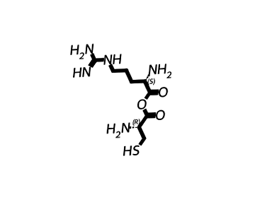 N=C(N)NCCC[C@H](N)C(=O)OC(=O)[C@@H](N)CS